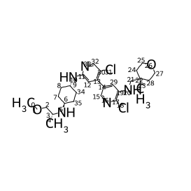 COC[C@@H](C)N[C@H]1CC[C@H](Nc2cc(-c3cnc(Cl)c(NCC4(C)CCOCC4)c3)c(Cl)cn2)CC1